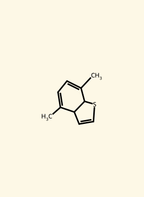 CC1=CC=C(C)C2SC=CC12